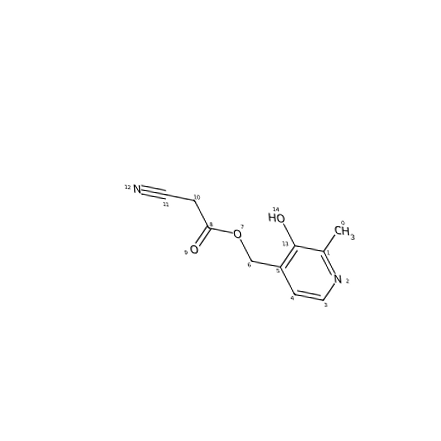 Cc1nccc(COC(=O)CC#N)c1O